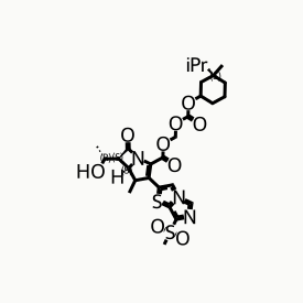 CC1C(c2cn3cnc(S(C)(=O)=O)c3s2)=C(C(=O)OCOC(=O)OC2CCC[C@](C)(C(C)C)C2)N2C(=O)[C@H]([C@@H](C)O)[C@H]12